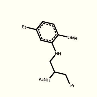 CCc1ccc(OC)c(NCC(CC(C)C)NC(C)=O)c1